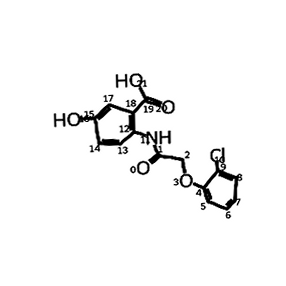 O=C(COc1ccccc1Cl)Nc1ccc(O)cc1C(=O)O